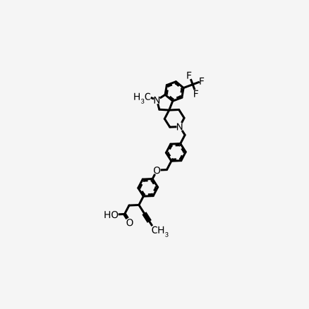 CC#CC(CC(=O)O)c1ccc(OCc2ccc(CN3CCC4(CC3)CN(C)c3ccc(C(F)(F)F)cc34)cc2)cc1